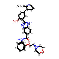 COc1ncccc1-c1ccc(O)c(-c2nc3cc(C(=O)Nc4ccccc4OCCN4CCOCC4)ccc3[nH]2)c1